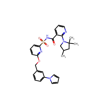 CC1CN(c2ncccc2C(=O)NS(=O)(=O)c2cccc(OCc3cccc(-n4cccc4)c3)n2)C(C)(C)C1